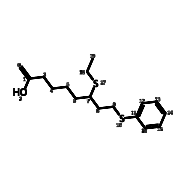 C=C(O)CCCCC(CCSc1ccccc1)SCC